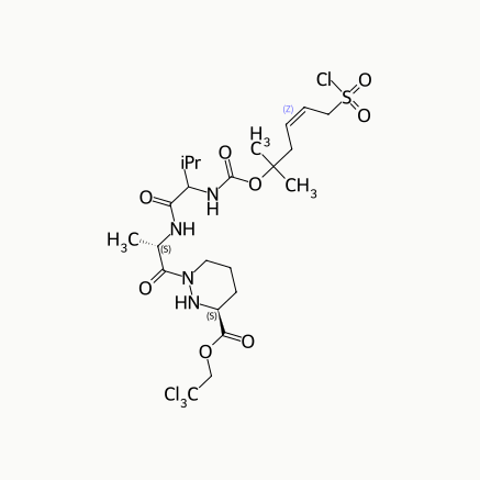 CC(C)C(NC(=O)OC(C)(C)C/C=C\CS(=O)(=O)Cl)C(=O)N[C@@H](C)C(=O)N1CCC[C@@H](C(=O)OCC(Cl)(Cl)Cl)N1